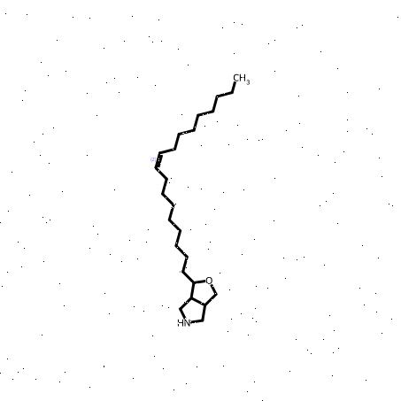 CCCCCCCC/C=C\CCCCCCC[CH]C1OCC2CNCC21